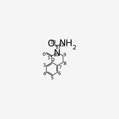 C=C1c2ccccc2CCN1C(N)=O